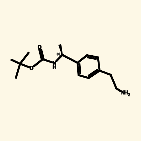 C[C@H](NC(=O)OC(C)(C)C)c1ccc(CCN)cc1